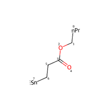 CCCCOC(=O)C[CH2][Sn]